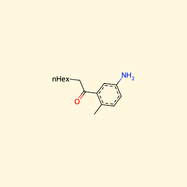 CCCCCCCC(=O)c1cc(N)ccc1C